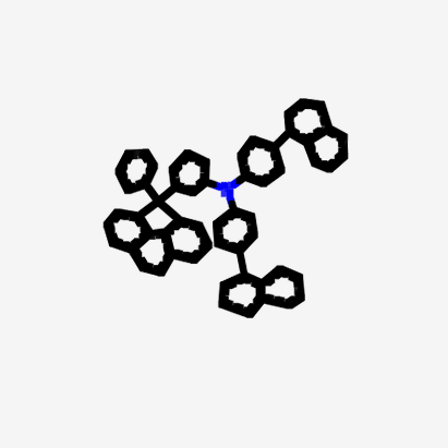 c1ccc(C2(c3cccc(N(c4ccc(-c5cccc6ccccc56)cc4)c4ccc(-c5cccc6ccccc56)cc4)c3)c3cccc4ccc5cccc2c5c34)cc1